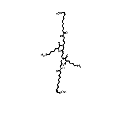 CCCCCCCC/C=C\CCCCCCCC(=O)NCCCN(CCCCN(CCCNC(=O)CCCCCCC/C=C\CCCCCCCC)C(=O)[C@@H](N)CCCCN)C(=O)[C@@H](N)CCCCN